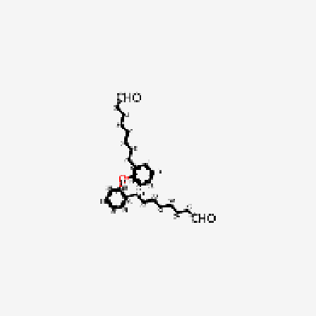 O=CCCCCCCCc1ccccc1Oc1ccccc1CCCCCCCC=O